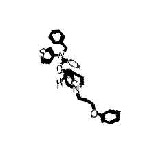 O=C(O[C@H]1C[N+]2(CCOc3ccccc3)CCC1CC2)N(Cc1ccccc1)c1ccsc1